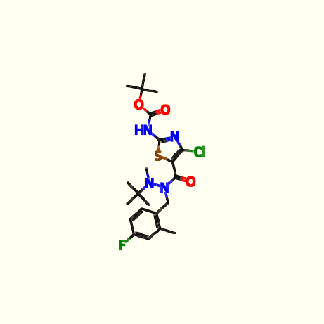 Cc1cc(F)ccc1CN(C(=O)c1sc(NC(=O)OC(C)(C)C)nc1Cl)N(C)C(C)(C)C